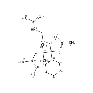 C[SiH](C)OC(CCCNC(=O)C(F)(F)F)(C1CCCCC1)C(C)(C)CN(C=O)OC(C)(C)C